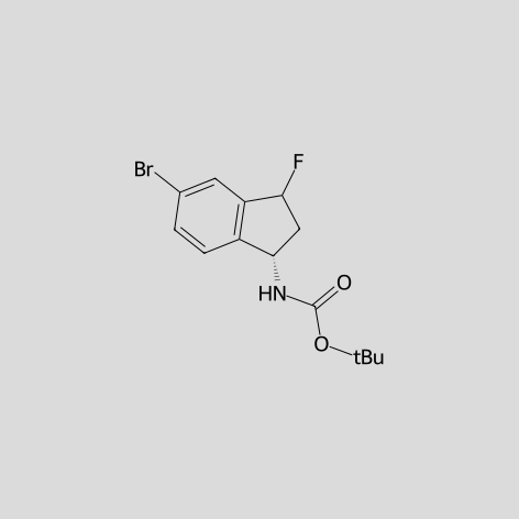 CC(C)(C)OC(=O)N[C@H]1CC(F)c2cc(Br)ccc21